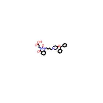 O=C(O)CCn1c(=O)c2ccccc2n(CCCCN2CCC(OC(c3ccccc3)c3ccccc3)CC2)c1=O